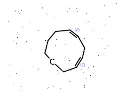 [CH]1C/C=C\C/C=C\CCC1